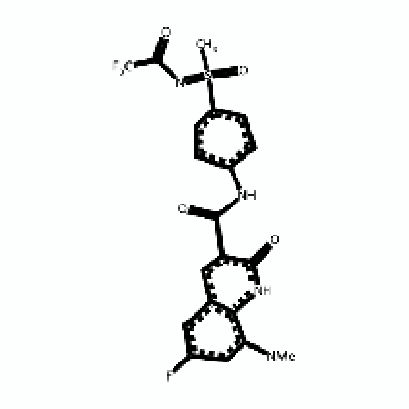 CNc1cc(F)cc2cc(C(=O)Nc3ccc(S(C)(=O)=NC(=O)C(F)(F)F)cc3)c(=O)[nH]c12